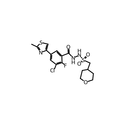 Cc1nc(-c2cc(Cl)c(F)c(C(=O)NNS(=O)(=O)CC3CCOCC3)c2)cs1